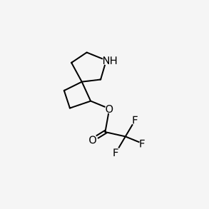 O=C(OC1CCC12CCNC2)C(F)(F)F